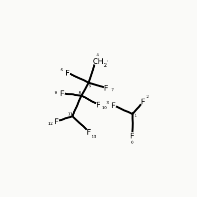 F[C](F)F.[CH2]C(F)(F)C(F)(F)C(F)F